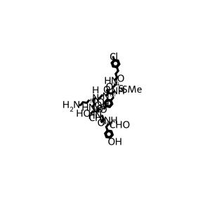 CSSC[C@@H](NC(=O)CCc1ccc(Cl)cc1)C(=O)N[C@@H](Cc1ccc(O)cc1)C(=O)NCC(=O)N[C@@H](CCCCN)C(=O)NC(C(=O)NCC(=O)N[C@@H](C=O)Cc1ccc(O)cc1)C(C)O